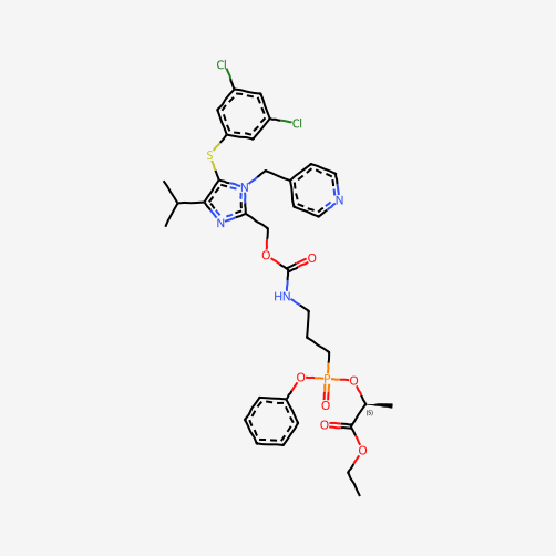 CCOC(=O)[C@H](C)OP(=O)(CCCNC(=O)OCc1nc(C(C)C)c(Sc2cc(Cl)cc(Cl)c2)n1Cc1ccncc1)Oc1ccccc1